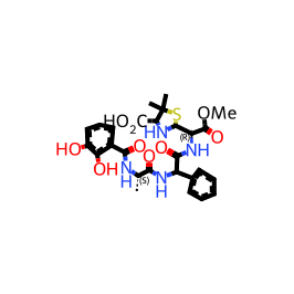 COC(=O)[C@@H](NC(=O)C(NC(=O)[C@H](C)NC(=O)c1cccc(O)c1O)c1ccccc1)C1NC(C(=O)O)C(C)(C)S1